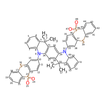 CC1(C)c2ccccc2N(c2ccc3c(c2)Sc2ccccc2S3(=O)=O)c2cc3c(cc21)N(c1ccc2c(c1)Sc1ccccc1S2(=O)=O)c1ccccc1C3(C)C